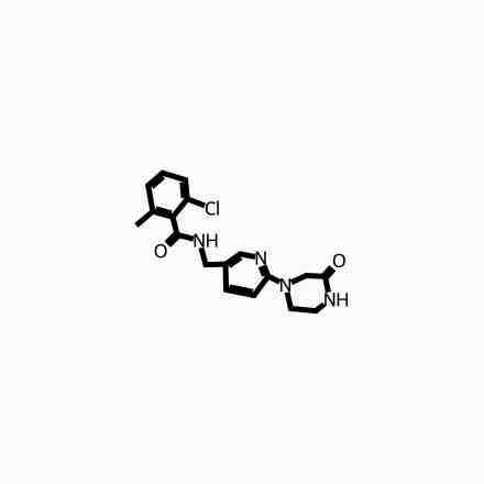 Cc1cccc(Cl)c1C(=O)NCc1ccc(N2CCNC(=O)C2)nc1